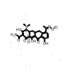 CCO/N=C(/C)c1ccc(O)c2c1CC1CC3[C@H](N(C)C)C(O)=C(C(N)=O)C(=O)[C@@]3(O)C(O)=C1C2=O